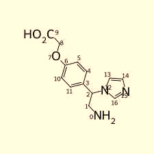 NCC(c1ccc(OCC(=O)O)cc1)n1ccnc1